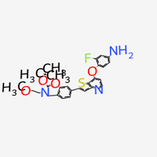 COCCN(Cc1ccc(-c2cc3nccc(Oc4ccc(N)cc4F)c3s2)cc1)C(=O)OC(C)(C)C